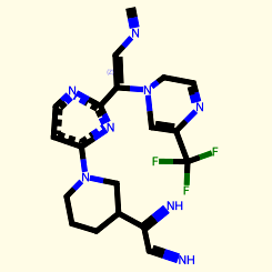 C=N/C=C(/c1nccc(N2CCCC(C(=N)C=N)C2)n1)N1C=C(C(F)(F)F)N=CC1